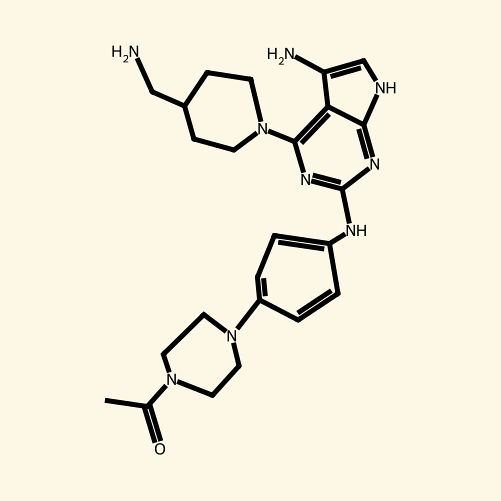 CC(=O)N1CCN(c2ccc(Nc3nc(N4CCC(CN)CC4)c4c(N)c[nH]c4n3)cc2)CC1